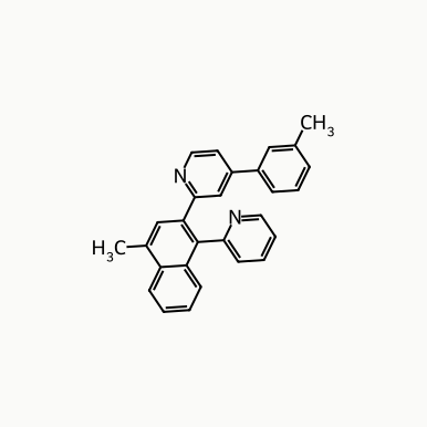 Cc1cccc(-c2ccnc(-c3cc(C)c4ccccc4c3-c3ccccn3)c2)c1